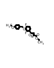 CCOC(=O)c1cc(-c2ccc(F)c(OCc3ccc(OC)cc3)c2F)on1